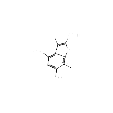 COc1cc(OC)c2c(C)c(C(=O)O)oc2c1C